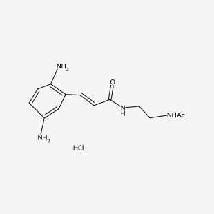 CC(=O)NCCNC(=O)C=Cc1cc(N)ccc1N.Cl